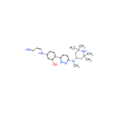 CN(c1ccc(-c2ccc(N/C=C\C=N)cc2O)nn1)C1CC(C)(C)NC(C)(C)C1